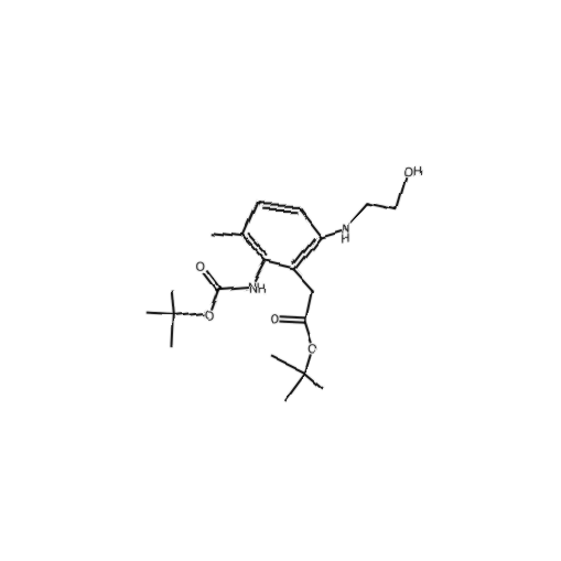 Cc1ccc(NCCO)c(CC(=O)OC(C)(C)C)c1NC(=O)OC(C)(C)C